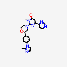 Cc1nccn1-c1ccc(C2CN(c3nc(-c4ccncn4)cc(=O)n3C)CCO2)cc1